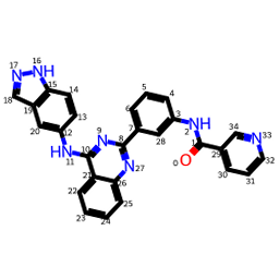 O=C(Nc1cccc(-c2nc(Nc3ccc4[nH]ncc4c3)c3ccccc3n2)c1)c1cccnc1